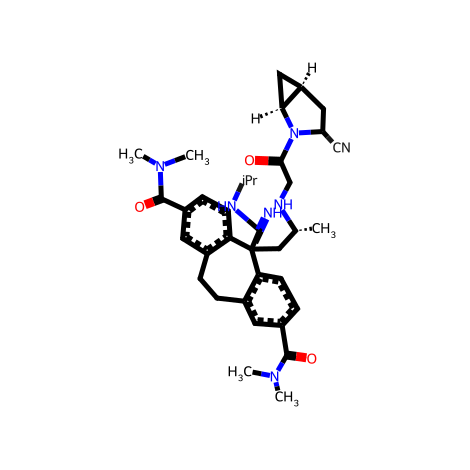 CC(C)NC(=N)C1(C[C@@H](C)NCC(=O)N2C(C#N)C[C@@H]3C[C@@H]32)c2ccc(C(=O)N(C)C)cc2CCc2cc(C(=O)N(C)C)ccc21